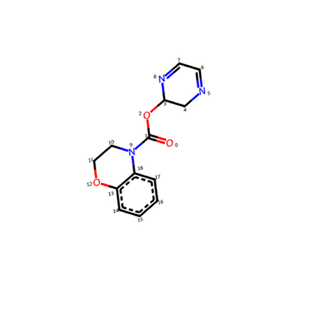 O=C(OC1CN=CC=N1)N1CCOc2ccccc21